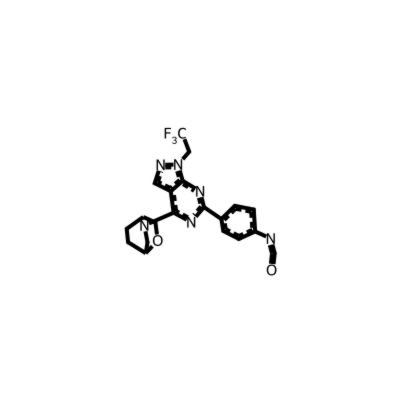 O=C=Nc1ccc(-c2nc(N3CC4CCC3CO4)c3cnn(CC(F)(F)F)c3n2)cc1